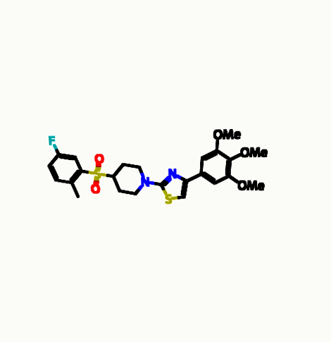 COc1cc(-c2csc(N3CCC(S(=O)(=O)c4cc(F)ccc4C)CC3)n2)cc(OC)c1OC